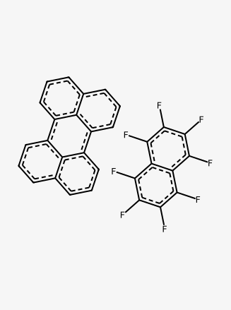 Fc1c(F)c(F)c2c(F)c(F)c(F)c(F)c2c1F.c1cc2cccc3c4cccc5cccc(c(c1)c23)c54